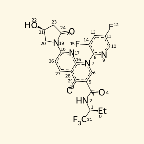 CC[C@H](NC(=O)c1cn(-c2ncc(F)cc2F)c2nc(N3C[C@@H](O)CC3=O)ccc2c1=O)C(F)(F)F